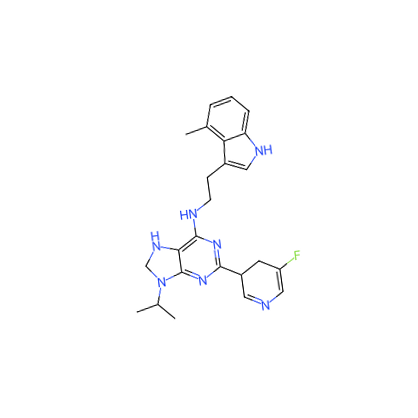 Cc1cccc2[nH]cc(CCNc3nc(C4C=NC=C(F)C4)nc4c3NCN4C(C)C)c12